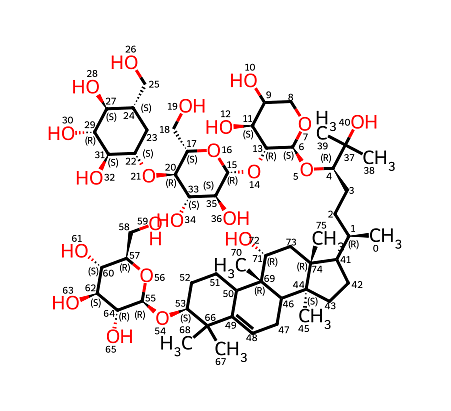 C[C@H](CC[C@@H](O[C@@H]1OCC(O)[C@H](O)[C@H]1O[C@H]1O[C@@H](CO)[C@H](O[C@H]2C[C@@H](CO)[C@H](O)[C@@H](O)[C@@H]2O)[C@@H](O)[C@@H]1O)C(C)(C)O)C1CC[C@@]2(C)C3CC=C4C(CC[C@H](O[C@@H]5O[C@H](CO)[C@@H](O)[C@H](O)[C@H]5O)C4(C)C)[C@]3(C)[C@H](O)C[C@]12C